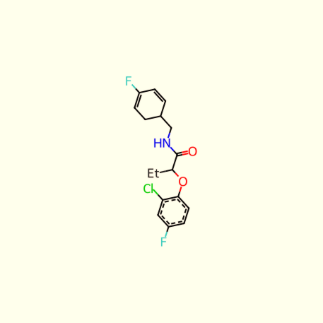 CCC(Oc1ccc(F)cc1Cl)C(=O)NCC1C=CC(F)=CC1